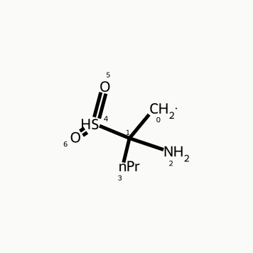 [CH2]C(N)(CCC)[SH](=O)=O